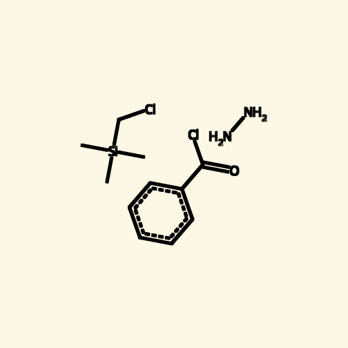 C[Si](C)(C)CCl.NN.O=C(Cl)c1ccccc1